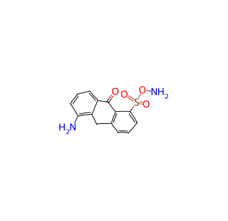 NOS(=O)(=O)c1cccc2c1C(=O)c1cccc(N)c1C2